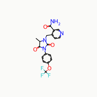 CC1C(=O)N(c2ccc(OC(F)(F)F)cc2)C(=O)N1Cc1ccncc1C(N)=O